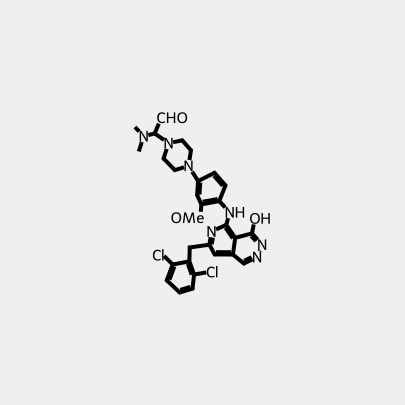 COc1cc(N2CCN(C(C=O)N(C)C)CC2)ccc1Nc1nc(Cc2c(Cl)cccc2Cl)cc2cnnc(O)c12